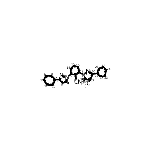 N#Cc1c(-n2ccc(-c3ccccc3)n2)cccc1-n1nc(-c2ccccc2)cc1C(F)(F)F